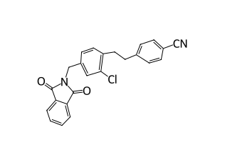 N#Cc1ccc(CCc2ccc(CN3C(=O)c4ccccc4C3=O)cc2Cl)cc1